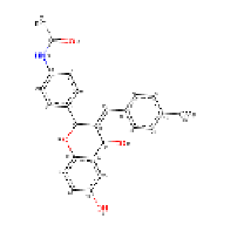 CCCC(=O)Nc1ccc(C2Oc3ccc(O)cc3C(=O)C2=Cc2ccc(OC)cc2)cc1